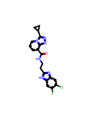 O=C(NCCc1nc2cc(Cl)c(F)cc2[nH]1)c1cccn2c(C3CC3)nnc12